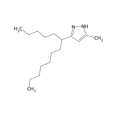 CCCCCCCC(CCCCC)c1cc(C)[nH]n1